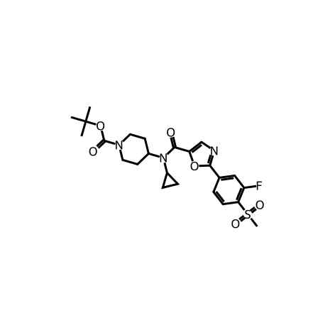 CC(C)(C)OC(=O)N1CCC(N(C(=O)c2cnc(-c3ccc(S(C)(=O)=O)c(F)c3)o2)C2CC2)CC1